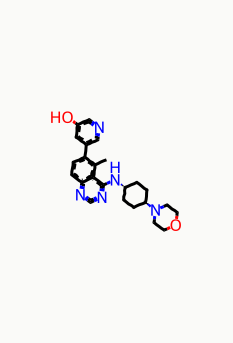 Cc1c(-c2cncc(O)c2)ccc2ncnc(N[C@H]3CC[C@H](N4CCOCC4)CC3)c12